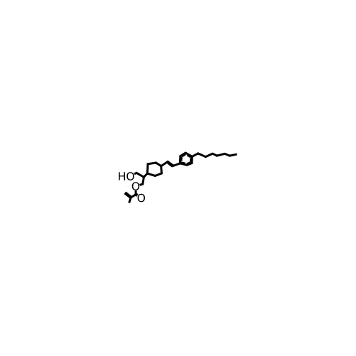 C=C(C)C(=O)OCC(CO)C1CCC(/C=C/c2ccc(CCCCCCC)cc2)CC1